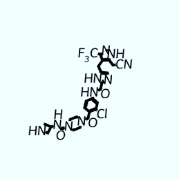 N#CCc1[nH]nc(C(F)(F)F)c1Cc1cnc(C(=O)Nc2ccc(C(=O)N3CCN(C(=O)NC4CNC4)CC3)c(Cl)c2)[nH]1